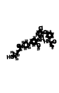 C=CC(=O)Nc1cccc(Oc2nc(Nc3ccc(N4CCN(C(=O)CCC[Si](C)(C)O)CC4)cc3OC)ncc2Cl)c1